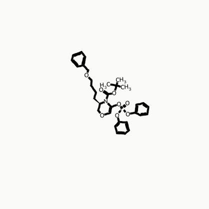 CC(C)(C)OC(=O)N1C(OP(=O)(Oc2ccccc2)Oc2ccccc2)=COC[C@H]1CCCCOCc1ccccc1